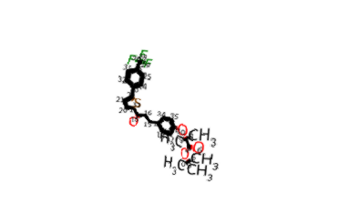 CC(C)(C)OC(=O)C(C)(C)Oc1ccc(CCC(=O)c2ccc(-c3ccc(C(F)(F)F)cc3)s2)cc1